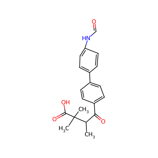 CC(C(=O)c1ccc(-c2ccc(NC=O)cc2)cc1)C(C)(C)C(=O)O